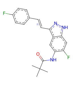 CC(C)(C)C(=O)Nc1cc2c(/C=C/c3ccc(F)cc3)n[nH]c2cc1F